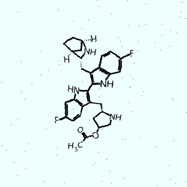 CC(=O)O[C@@H]1CN[C@H](Cc2c(-c3[nH]c4cc(F)ccc4c3C[C@H]3N[C@@H]4CC[C@H]3C4)[nH]c3cc(F)ccc23)C1